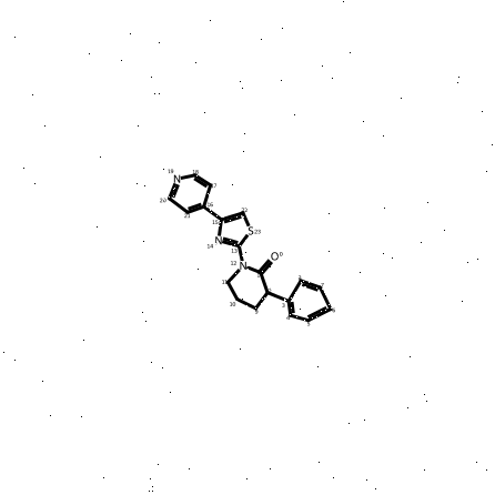 O=C1C(c2ccccc2)CCCN1c1nc(-c2ccncc2)cs1